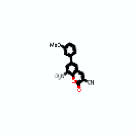 COc1cccc(-c2cc([N+](=O)[O-])c3oc(=O)c(C#N)cc3c2)c1